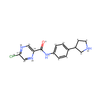 O=C(Nc1ccc(C2CCNC2)cc1)c1cnc(Cl)cn1